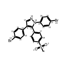 CS(=O)(=O)c1ccc(-c2c(-c3ccc(Br)cc3)cnn2-c2ccc(Br)cc2)cc1